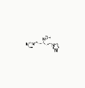 ON=C(CCn1ccnc1)CCn1ccnc1